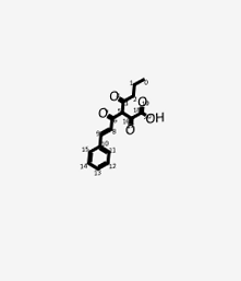 CCCC(=O)C(C(=O)C=Cc1ccccc1)C(=O)C(=O)O